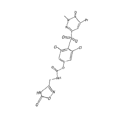 CC(C)c1cc(S(=O)(=O)c2c(Cl)cc(OC(=O)NCc3noc(=O)[nH]3)cc2Cl)nn(C)c1=O